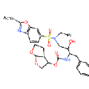 CC(=O)Nc1nc2ccc(S(=O)(=O)N(CC(C)C)CC(O)C(Cc3ccccc3)NC(=O)OC3COC4OCCC34)cc2o1